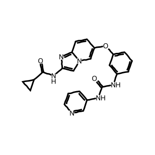 O=C(Nc1cccnc1)Nc1cccc(Oc2ccc3nc(NC(=O)C4CC4)cn3c2)c1